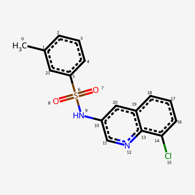 Cc1cccc(S(=O)(=O)Nc2cnc3c(Cl)cccc3c2)c1